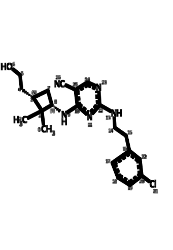 CC1(C)[C@H](CCO)C[C@@H]1Nc1nc(NCCc2cccc(Cl)c2)ncc1C#N